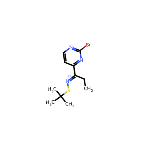 CC/C(=N\SC(C)(C)C)c1ccnc(Br)n1